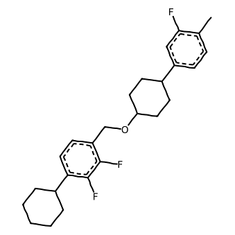 Cc1ccc(C2CCC(OCc3ccc(C4CCCCC4)c(F)c3F)CC2)cc1F